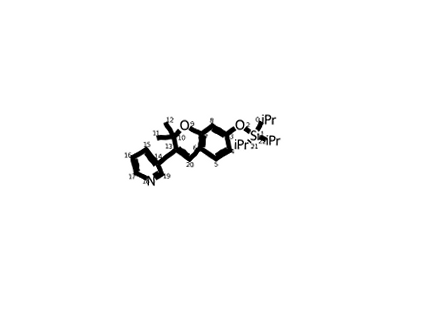 CC(C)[Si](Oc1ccc2c(c1)OC(C)(C)C(c1cccnc1)=C2)(C(C)C)C(C)C